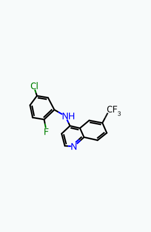 Fc1ccc(Cl)cc1Nc1ccnc2ccc(C(F)(F)F)cc12